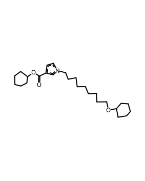 O=C(OC1CCCCC1)c1ccn(CCCCCCCCCOC2CCCCC2)c1